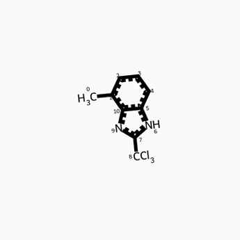 Cc1cccc2[nH]c(C(Cl)(Cl)Cl)nc12